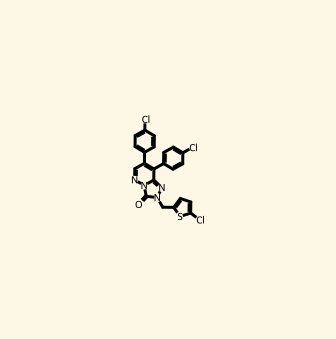 O=c1n(Cc2ccc(Cl)s2)nc2c(-c3ccc(Cl)cc3)c(-c3ccc(Cl)cc3)cnn12